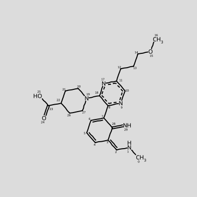 CN/C=C1/C=CC=C(c2ncc(CCCOC)nc2N2CCC(C(=O)O)CC2)C1=N